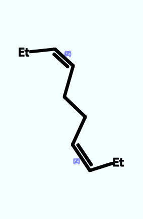 CC/C=C\CC/C=C\CC